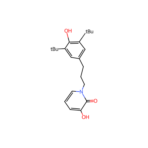 CC(C)(C)c1cc(CCCn2cccc(O)c2=O)cc(C(C)(C)C)c1O